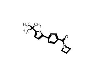 CC(C)(C)c1ccc(-c2ccc(C(=O)N3CCC3)cc2)s1